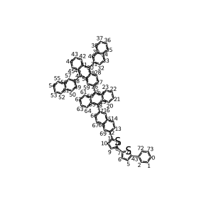 c1ccc(-c2ccc(-c3ccc(-c4ccc5cc(-c6c7ccccc7c(-c7ccc8c(-c9ccc%10ccccc%10c9)c9ccccc9c(-c9ccc%10ccccc%10c9)c8c7)c7ccccc67)ccc5c4)s3)s2)cc1